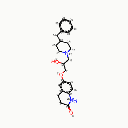 O=C1CCc2cc(OCC(O)CN3CCC(Cc4ccccc4)CC3)ccc2N1